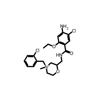 CCOc1cc(N)c(Cl)cc1C(=O)NCC1C[N+](C)(Cc2ccccc2Cl)CCO1